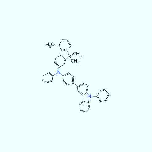 CC1CC=CC2=C1C1CC=C(N(c3ccccc3)c3ccc(-c4ccc5c(c4)c4ccccc4n5-c4ccccc4)cc3)C=C1C2(C)C